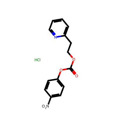 Cl.O=C(OCCc1ccccn1)Oc1ccc([N+](=O)[O-])cc1